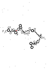 CN(CCN1CCC(OC(=O)Nc2ccccc2-c2ccccc2)CC1)C(=O)CCCCCNc1ccc(C(=O)NCCCN(C)C(=O)CO[C@H]2Cc3ccccc3C23CCN(CC[C@@]2(c4ccc(F)cc4)CN(C(=O)c4cc(C(F)(F)F)cc(C(F)(F)F)c4)CO2)CC3)cc1